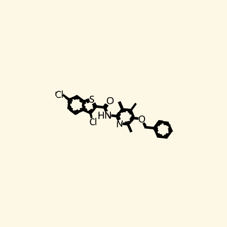 Cc1nc(NC(=O)c2sc3cc(Cl)ccc3c2Cl)c(C)c(C)c1OCc1ccccc1